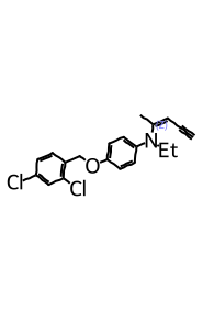 C#C/C=C(/C)N(CC)c1ccc(OCc2ccc(Cl)cc2Cl)cc1